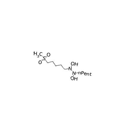 CCCCCN(O)N(O)CCCCCS(C)(=O)=O